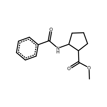 COC(=O)C1CCCC1NC(=O)c1ccccc1